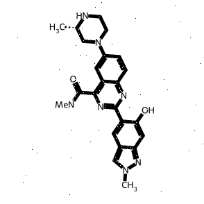 CNC(=O)c1nc(-c2cc3cn(C)nc3cc2O)nc2ccc(N3CCN[C@@H](C)C3)cc12